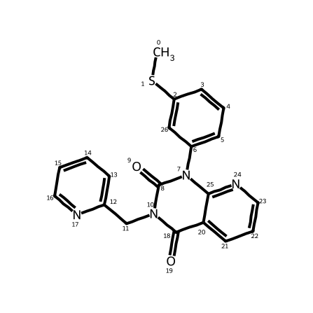 CSc1cccc(-n2c(=O)n(Cc3ccccn3)c(=O)c3cccnc32)c1